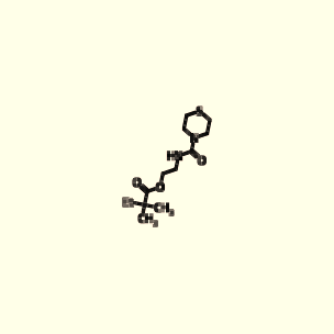 CCC(C)(C)C(=O)OCCNC(=O)N1CCSCC1